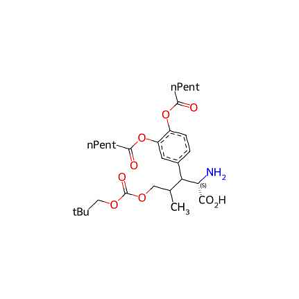 CCCCCC(=O)Oc1ccc(C(C(C)COC(=O)OCC(C)(C)C)[C@H](N)C(=O)O)cc1OC(=O)CCCCC